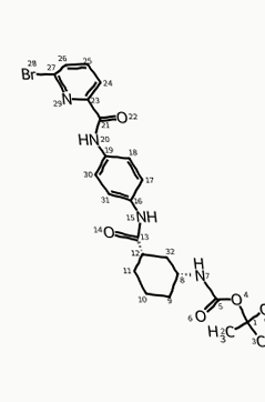 CC(C)(C)OC(=O)N[C@@H]1CCC[C@H](C(=O)Nc2ccc(NC(=O)c3cccc(Br)n3)cc2)C1